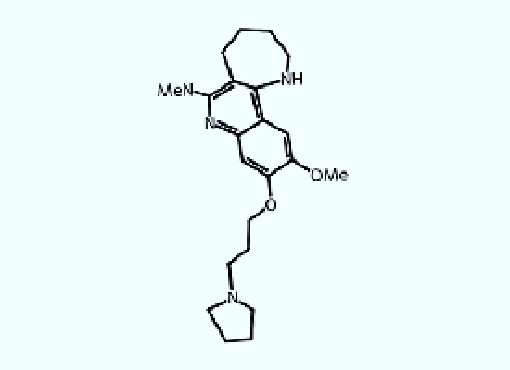 CNc1nc2cc(OCCCN3CCCC3)c(OC)cc2c2c1CCCCN2